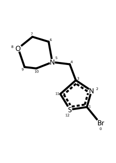 Brc1nc(CN2CCOCC2)cs1